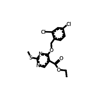 CCOC(=O)c1cnc(SC)nc1OCc1ccc(Cl)cc1Cl